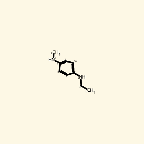 CCNc1ccc(NC)cc1